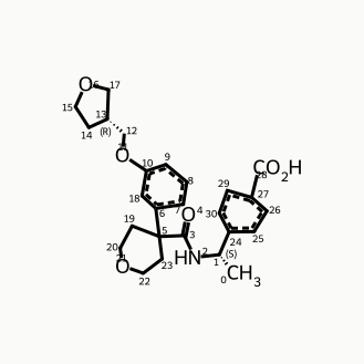 C[C@H](NC(=O)C1(c2cccc(OC[C@@H]3CCOC3)c2)CCOCC1)c1ccc(C(=O)O)cc1